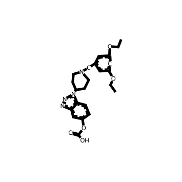 CCOc1cc(CN2CCC(n3nnc4cc(OC(=O)O)ccc43)CC2)cc(OCC)c1